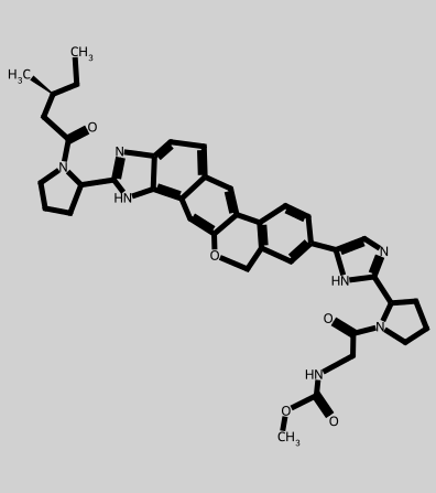 CC[C@H](C)CC(=O)N1CCCC1c1nc2ccc3cc4c(cc3c2[nH]1)OCc1cc(-c2cnc(C3CCCN3C(=O)CNC(=O)OC)[nH]2)ccc1-4